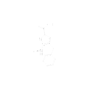 O=C(O)c1cc2n(n1)[NH+]([O-])c1ccccc1C2